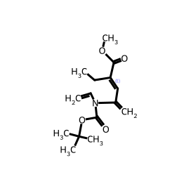 C=CN(C(=C)/C=C(\CC)C(=O)OC)C(=O)OC(C)(C)C